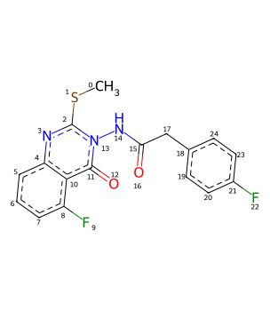 CSc1nc2cccc(F)c2c(=O)n1NC(=O)Cc1ccc(F)cc1